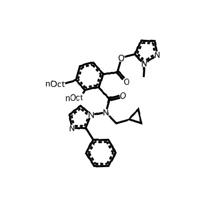 CCCCCCCCc1ccc(C(=O)Oc2ccnn2C)c(C(=O)N(CC2CC2)n2ccnc2-c2ccccc2)c1CCCCCCCC